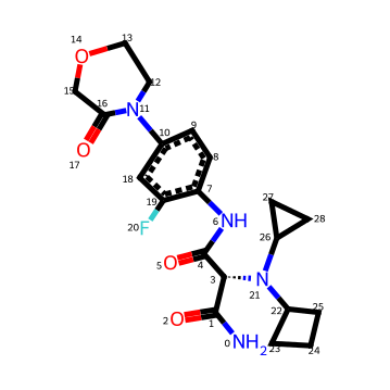 NC(=O)[C@H](C(=O)Nc1ccc(N2CCOCC2=O)cc1F)N(C1CCC1)C1CC1